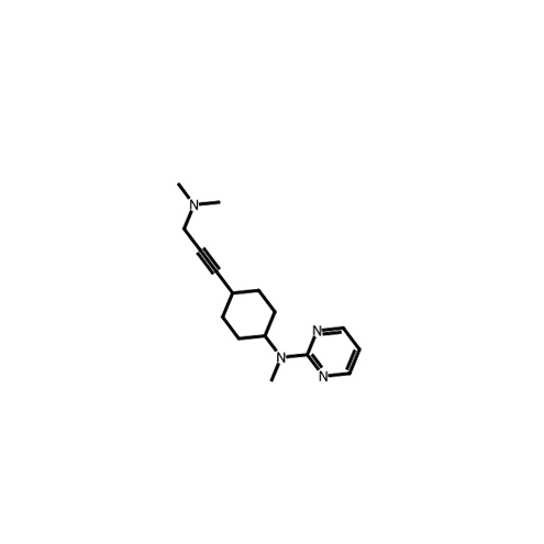 CN(C)CC#CC1CCC(N(C)c2ncccn2)CC1